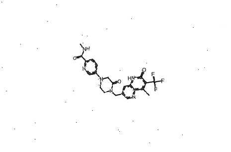 CNC(=O)c1ccc(N2CCN(Cc3cnc4c(C)c(C(F)(F)F)c(=O)[nH]c4c3)C(=O)C2)cn1